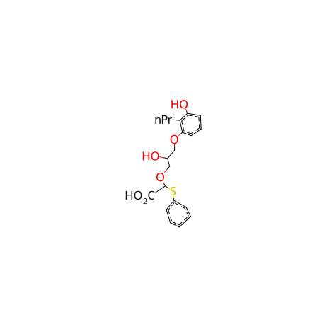 CCCc1c(O)cccc1OCC(O)COC(Sc1ccccc1)C(=O)O